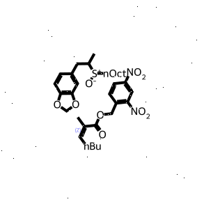 CCCC/C=C(/C)C(=O)OCc1ccc([N+](=O)[O-])cc1[N+](=O)[O-].CCCCCCCC[S+]([O-])C(C)Cc1ccc2c(c1)OCO2